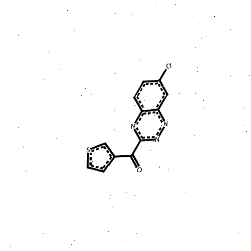 O=C(c1ccsc1)c1nnc2cc(Cl)ccc2n1